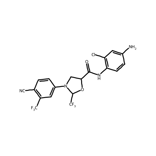 N#Cc1ccc(N2CC(C(=O)Nc3ccc(N)cc3Cl)OC2C(F)(F)F)cc1C(F)(F)F